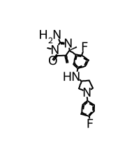 C=C1C(=O)N(C)C(N)=N[C@]1(C)c1cc(NC2CCN(c3ccc(F)cc3)C2)ccc1F